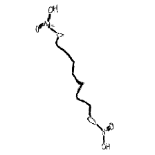 O=[N+](O)OCCCCCCO[N+](=O)O